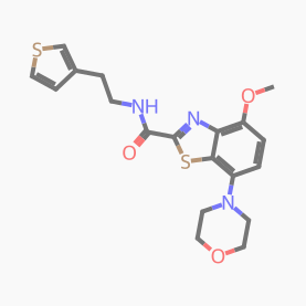 COc1ccc(N2CCOCC2)c2sc(C(=O)NCCc3ccsc3)nc12